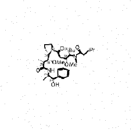 CC[C@H](C)C([C@@H](CC(=O)N1CCC[C@H]1[C@H](OC)[C@@H](C)C(=O)N[C@H](C)[C@@H](O)c1ccccc1)OC)N(C)C(=O)CC(C)C